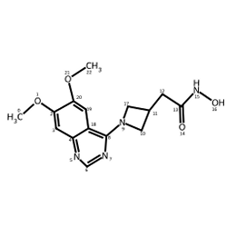 COc1cc2ncnc(N3CC(CC(=O)NO)C3)c2cc1OC